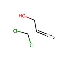 C=CCO.ClCCl